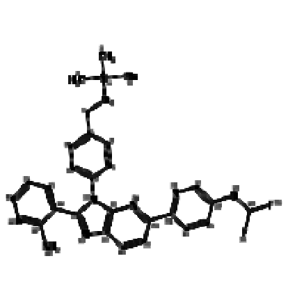 CC(C)(C)[Si](C)(C)OCc1ccc(-n2c(-c3cccnc3N)nc3ccc(-c4ccc(OC(F)F)cn4)nc32)cc1